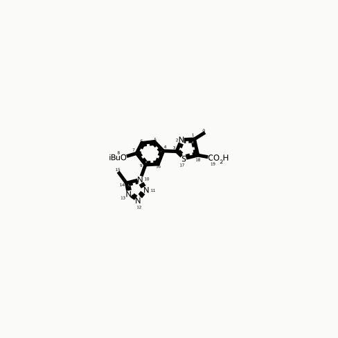 Cc1nc(-c2ccc(OCC(C)C)c(-n3nnnc3C)c2)sc1C(=O)O